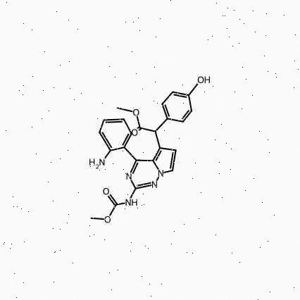 COC(=O)Nc1nc(-c2ccccc2N)c2c(C(C(=O)OC)c3ccc(O)cc3)ccn2n1